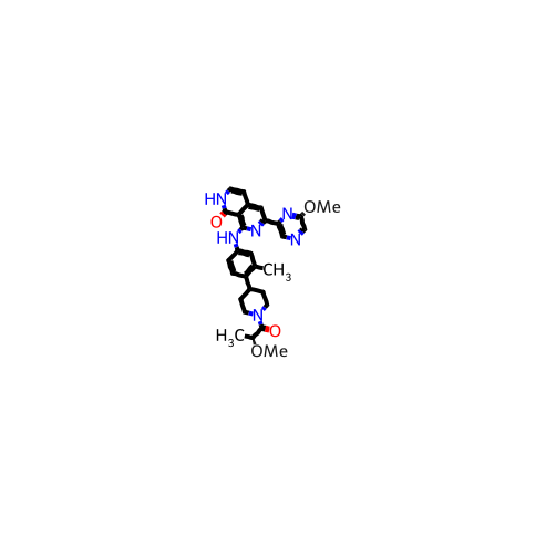 COc1cncc(-c2cc3cc[nH]c(=O)c3c(Nc3ccc(C4CCN(C(=O)[C@H](C)OC)CC4)c(C)c3)n2)n1